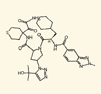 Cn1nc2ccc(C(=O)N[C@H](CC3CCCCC3)C(=O)N3CC(n4nncc4C(C)(C)O)CC3C(=O)NC3(C(=O)C(N)=O)CCSCC3)cc2n1